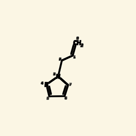 C=CCn1bccc1